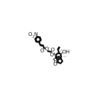 C=C[C@]1(C)C[C@@H](OC(=O)COC(=O)/C=C/c2ccc([N+](=O)[O-])cc2)[C@]2(C)[C@H](C)CC[C@]3(CCC(=O)[C@H]32)[C@@H](C)[C@@H]1O